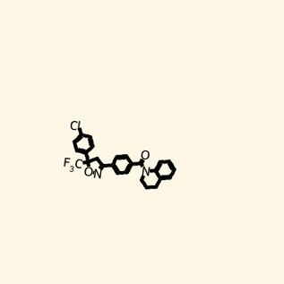 O=C(c1ccc(C2=NOC(c3ccc(Cl)cc3)(C(F)(F)F)C2)cc1)N1CCCc2ccccc21